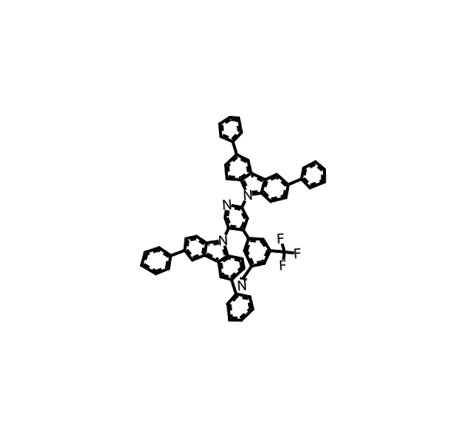 N#Cc1cc(-c2cc(-n3c4ccc(-c5ccccc5)cc4c4cc(-c5ccccc5)ccc43)ncc2-n2c3ccc(-c4ccccc4)cc3c3cc(-c4ccccc4)ccc32)cc(C(F)(F)F)c1